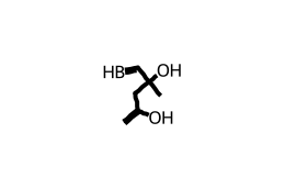 B=CC(C)(O)CC(=C)O